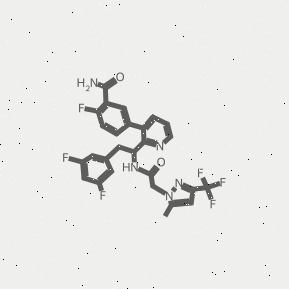 Cc1cc(C(F)(F)F)nn1CC(=O)NC(Cc1cc(F)cc(F)c1)c1ncccc1-c1ccc(F)c(C(N)=O)c1